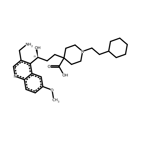 COc1ccc2ncc(CN)c([C@@H](O)CCC3(C(=O)O)CCN(CCC4CCCCC4)CC3)c2c1